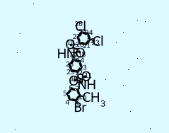 Cc1c(Br)cccc1NS(=O)(=O)c1ccc(NS(=O)(=O)c2cc(Cl)cc(Cl)c2)cc1